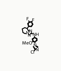 COc1cc(Nc2nc3n(n2)CCCCC3c2ccc(F)c(F)c2)ccc1-n1cnc(Cl)c1